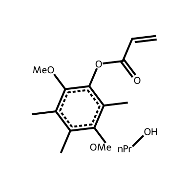 C=CC(=O)Oc1c(C)c(OC)c(C)c(C)c1OC.CCCO